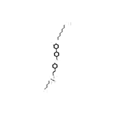 CCCCCCCCCOc1ccc(-c2ccc(C(=O)Oc3ccc(C=CC(=O)O[C@H](CCCCCC)C(F)(F)F)cc3)cc2)cc1F